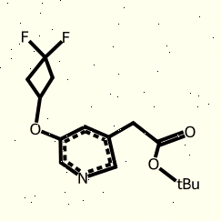 CC(C)(C)OC(=O)Cc1cncc(OC2CC(F)(F)C2)c1